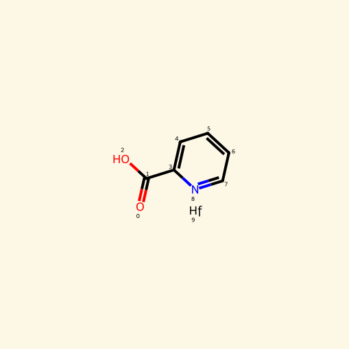 O=C(O)c1ccccn1.[Hf]